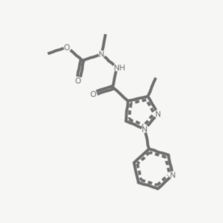 COC(=O)N(C)NC(=O)c1cn(-c2cccnc2)nc1C